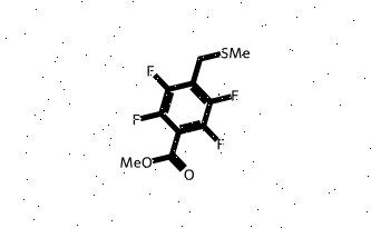 COC(=O)c1c(F)c(F)c(CSC)c(F)c1F